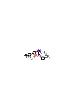 Cc1noc(-c2ccc(-c3ccc(C4(C(=O)O)CC4)cc3)cc2)c1C(O)/C=C/c1cccc(C(F)(F)F)c1